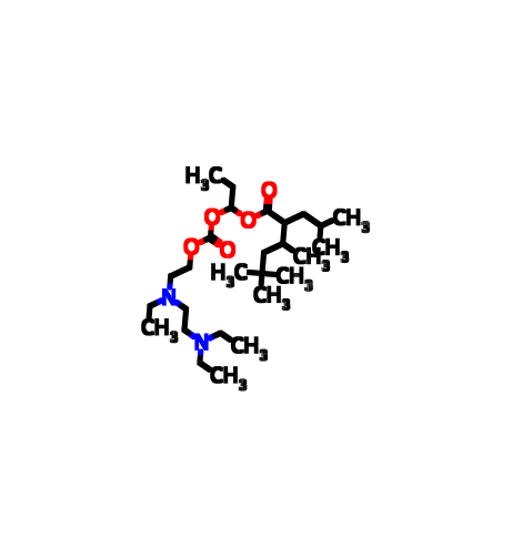 CCC(OC(=O)OCCN(CC)CCN(CC)CC)OC(=O)C(CC(C)C)C(C)CC(C)(C)C